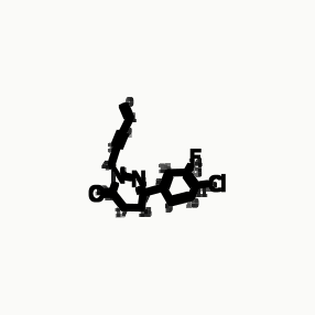 C=CC#CCN1N=C(c2ccc(Cl)c(F)c2)CCC1=O